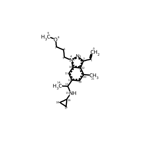 C=Cc1nn(CCCOC)c2cc(C(C)NC3CC3)cc(C)c12